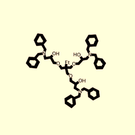 CCC(COCC(O)CN(Cc1ccccc1)Cc1ccccc1)(COCC(O)CN(Cc1ccccc1)Cc1ccccc1)COCC(O)CN(Cc1ccccc1)Cc1ccccc1